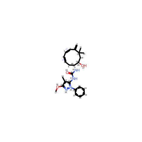 C=C1/C=C\C=C/C[C@@H](NC(=O)Nc2c(C)c(OC)nn2-c2ccccc2)[C@H](O)CC1(C)C